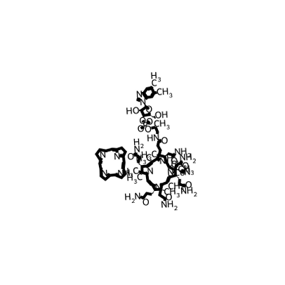 C/C1=C2N=C(/C=C3N=C(/C(C)=C4/[C@@H](CCC(N)=O)[C@](C)(CC(N)=O)[C@](C)([C@@H]5N=C1[C@](C)(CCC(=O)NCC(C)OP(=O)([O-])O[C@H]1[C@@H](O)[C@@H](n6cnc7cc(C)c(C)cc76)O[C@@H]1CO)[C@H]5CC(N)=O)[N]4[Co+][C]#N)[C@@](C)(CC(N)=O)[C@@H]\3CCC(N)=O)C(C)(C)[C@@H]/2CCC(N)=O.C1=C2/CCC(=N2)/C=C2/CCC(N2)C2CCC(=N2)/C=C2/CCC/1=N2